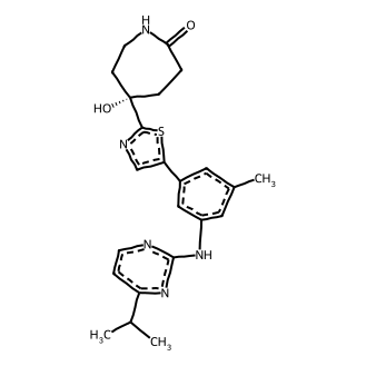 Cc1cc(Nc2nccc(C(C)C)n2)cc(-c2cnc([C@@]3(O)CCNC(=O)CC3)s2)c1